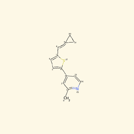 Cc1cc(-c2ccc(C=C3CC3)s2)ccn1